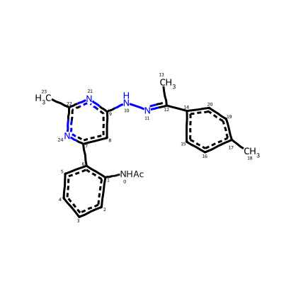 CC(=O)Nc1ccccc1-c1cc(N/N=C(\C)c2ccc(C)cc2)nc(C)n1